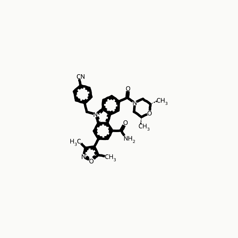 Cc1noc(C)c1-c1cc(C(N)=O)c2c3cc(C(=O)N4C[C@@H](C)O[C@@H](C)C4)ccc3n(Cc3ccc(C#N)cc3)c2c1